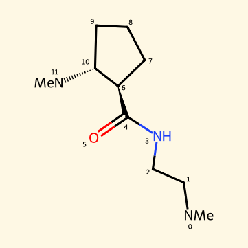 CNCCNC(=O)[C@@H]1CCC[C@H]1NC